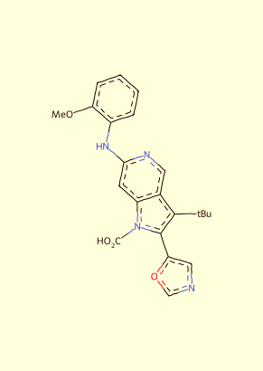 COc1ccccc1Nc1cc2c(cn1)c(C(C)(C)C)c(-c1cnco1)n2C(=O)O